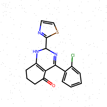 O=C1CCCC2=C1C(c1ccccc1Cl)=NC(c1nccs1)N2